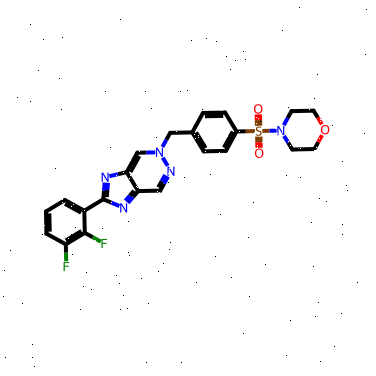 O=S(=O)(c1ccc(Cn2cc3nc(-c4cccc(F)c4F)nc-3cn2)cc1)N1CCOCC1